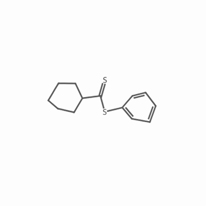 S=C(Sc1ccccc1)C1CCCCC1